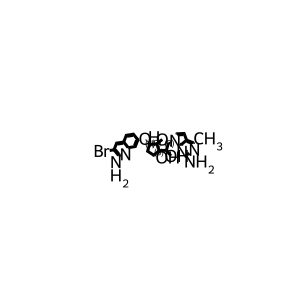 Cc1nc(N)nc2c1ccn2[C@@H]1O[C@@H]2[C@@H](Oc3ccc4cc(Br)c(N)nc4c3)CC[C@]2(O)C1O